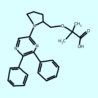 CC(C)(OCC1CCCN1c1cnc(-c2ccccc2)c(-c2ccccc2)n1)C(=O)O